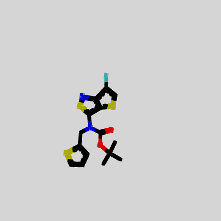 CC(C)(C)OC(=O)N(Cc1cccs1)c1snc2c(F)csc12